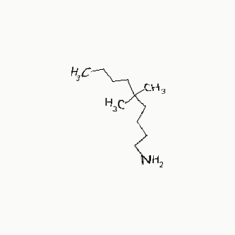 CCCCC(C)(C)CCCCN